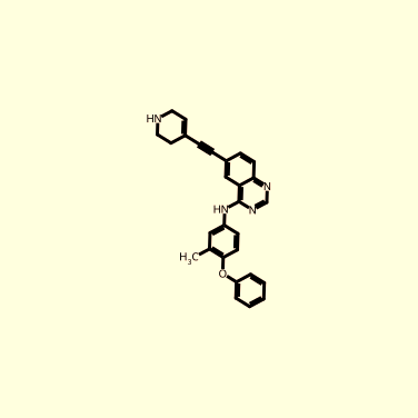 Cc1cc(Nc2ncnc3ccc(C#CC4=CCNCC4)cc23)ccc1Oc1ccccc1